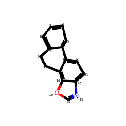 c1ccc2c(c1)CCc1c-2ccc2ncoc12